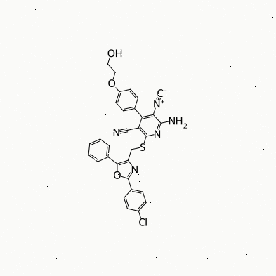 [C-]#[N+]c1c(N)nc(SCc2nc(-c3ccc(Cl)cc3)oc2-c2ccccc2)c(C#N)c1-c1ccc(OCCO)cc1